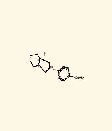 COc1ccc([C@H]2C[C@@H]3CCCCN3C2)cc1